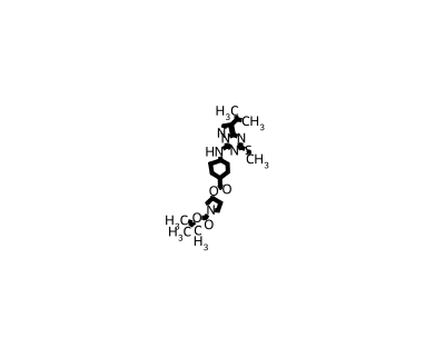 CSc1nc(NC2CCC(C(=O)OC3CCN(C(=O)OC(C)(C)C)C3)CC2)n2ncc(C(C)C)c2n1